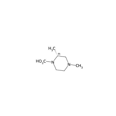 C[C@@H]1CN(C)CCN1C(=O)O